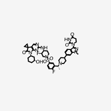 C[C@H](c1cc(S(=O)(=O)N2CC[C@H](Nc3ncc4c(n3)N([C@@H]3CCC[C@@H](O)C3)C(=O)C43CC3)[C@H](F)C2)ccc1F)N1CCC(c2ccc3c(N4CCC(=O)NC4=O)nn(C)c3c2)CC1